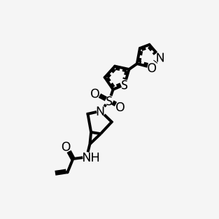 C=CC(=O)NC1C2CN(S(=O)(=O)c3ccc(-c4ccno4)s3)CC21